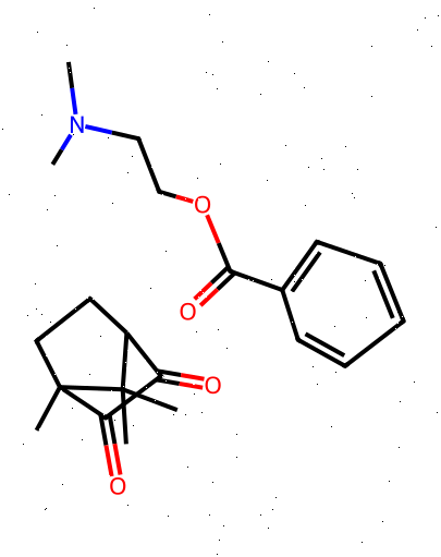 CC12CCC(C(=O)C1=O)C2(C)C.CN(C)CCOC(=O)c1ccccc1